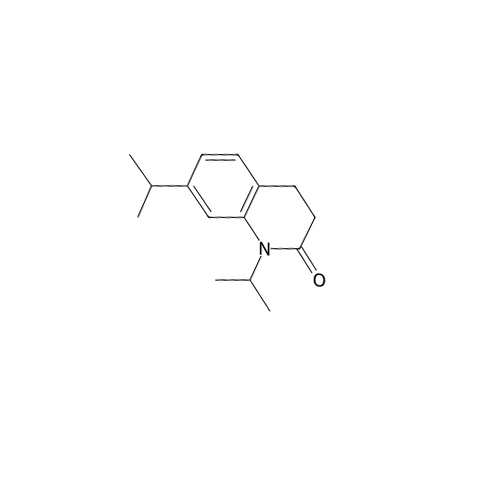 CC(C)c1ccc2c(c1)N(C(C)C)C(=O)CC2